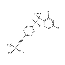 C[Si](C)(C)C#Cc1ccc(C(F)(F)C2(c3ccc(F)cc3F)CO2)nc1